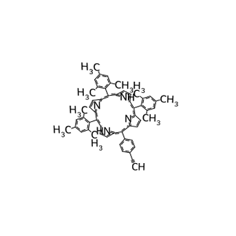 C#Cc1ccc(-c2c3nc(c(-c4c(C)cc(C)cc4C)c4ccc([nH]4)c(-c4c(C)cc(C)cc4C)c4nc(c(-c5c(C)cc(C)cc5C)c5ccc2[nH]5)C=C4)C=C3)cc1